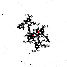 CCn1nc(C)cc1C(=O)Nc1nc2cc(C(N)=O)cc3c2n1[C@@H](C/C=C\C[C@H]1CN(CCCOC)c2cc(C(N)=O)cc4nc(NC(=O)c5cc(C)nn5CCCCn5nc(C)cc5C(=O)Nc5nc6cc(C(N)=O)cc7c6n5[C@@H](C/C=C/C[C@H]5CN(CCCOC)c6cc(C(N)=O)cc8nc(NC(=O)c9cc(C)nn9CC)n5c68)CN7C)n1c24)CN3C